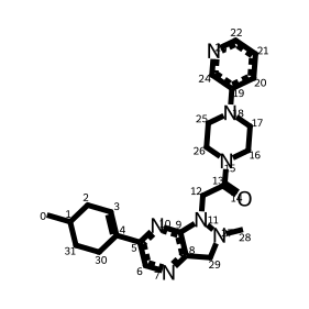 CC1CC=C(c2cnc3c(n2)N(CC(=O)N2CCN(c4cccnc4)CC2)N(C)C3)CC1